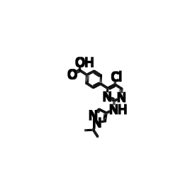 CC(C)n1cc(Nc2ncc(Cl)c(-c3ccc(C(=O)O)cc3)n2)cn1